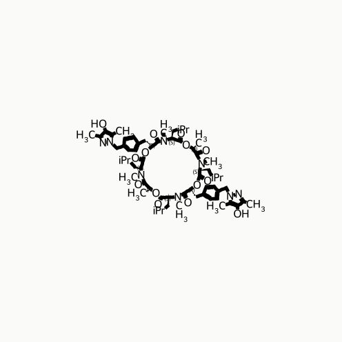 Cc1nn(Cc2ccc(C[C@H]3OC(=O)[C@H](CC(C)C)N(C)C(=O)[C@@H](C)OC(=O)[C@H](CC(C)C)N(C)C(=O)[C@@H](Cc4ccc(Cn5nc(C)c(O)c5C)cc4)OC(=O)[C@H](CC(C)C)N(C)C(=O)[C@@H](C)OC(=O)[C@H](CC(C)C)N(C)C3=O)cc2)c(C)c1O